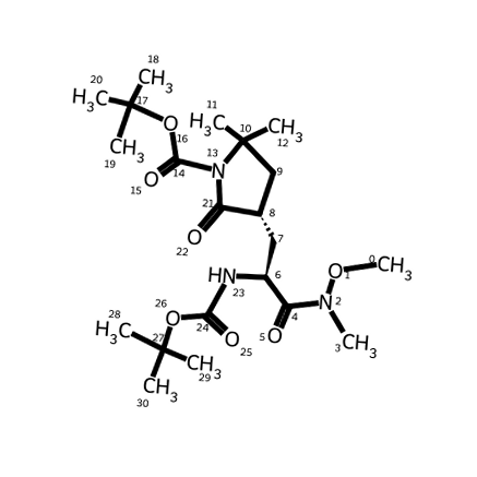 CON(C)C(=O)[C@H](C[C@H]1CC(C)(C)N(C(=O)OC(C)(C)C)C1=O)NC(=O)OC(C)(C)C